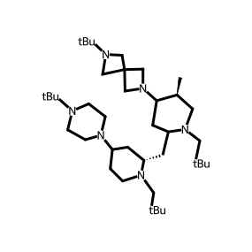 C[C@H]1CN(CC(C)(C)C)C(C[C@H]2CC(N3CCN(C(C)(C)C)CC3)CCN2CC(C)(C)C)CC1N1CC2(C1)CN(C(C)(C)C)C2